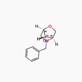 O[C@H]1[C@H]2CO[C@@H]1CN2Cc1ccccc1